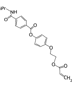 C=CC(=O)OCCOc1ccc(OC(=O)c2ccc(C(=O)NC(C)C)cc2)cc1